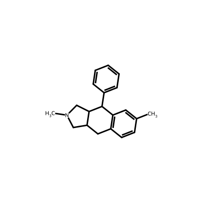 Cc1ccc2c(c1)C(c1ccccc1)C1CN(C)CC1C2